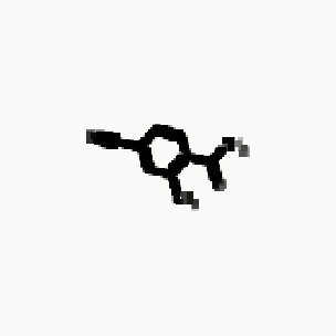 Cc1cc(C#N)ccc1C(N)=O